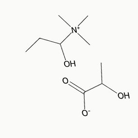 CC(O)C(=O)[O-].CCC(O)[N+](C)(C)C